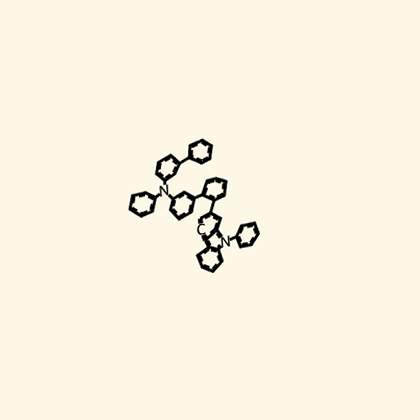 c1ccc(-c2cccc(N(c3ccccc3)c3cccc(-c4ccccc4-c4ccc5c6ccccc6n(-c6ccccc6)c5c4)c3)c2)cc1